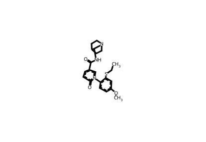 CCSc1cc(OC)ccc1-n1cc(C(=O)NC2CN3CCC2CC3)ccc1=O